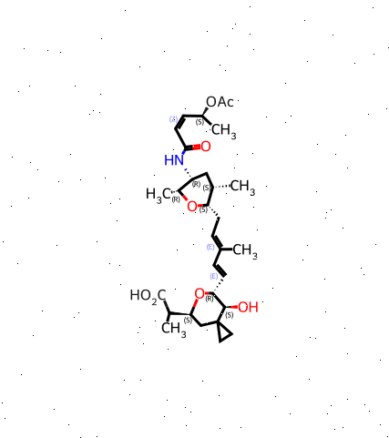 CC(=O)O[C@@H](C)/C=C\C(=O)N[C@@H]1C[C@H](C)[C@H](C/C=C(C)/C=C/[C@H]2O[C@H](C(C)C(=O)O)CC3(CC3)[C@@H]2O)O[C@@H]1C